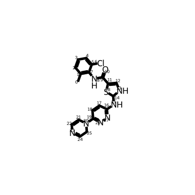 Cc1cccc(Cl)c1NC(=O)C1=CNC(Nc2ccc(N3C=CN=CC3)nn2)S1